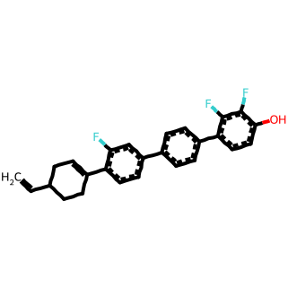 C=CC1CC=C(c2ccc(-c3ccc(-c4ccc(O)c(F)c4F)cc3)cc2F)CC1